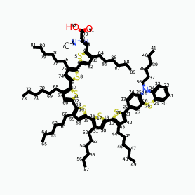 [C-]#[N+]/C(=C\c1sc(-c2sc(-c3sc(-c4sc(-c5sc(-c6sc(-c7ccc8c(c7)Sc7ccccc7N8CCCCCC)cc6CCCCCC)cc5CCCCCC)cc4CCCCCC)cc3CCCCCC)cc2CCCCCC)cc1CCCCCC)C(=O)O